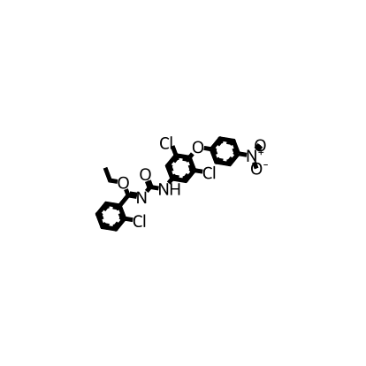 CCOC(=NC(=O)Nc1cc(Cl)c(Oc2ccc([N+](=O)[O-])cc2)c(Cl)c1)c1ccccc1Cl